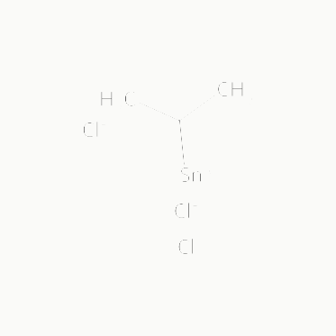 C[CH](C)[Sn+3].[Cl-].[Cl-].[Cl-]